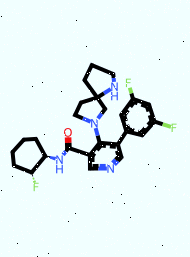 O=C(N[C@@H]1CCCC[C@H]1F)c1cncc(-c2cc(F)cc(F)c2)c1N1CCC2(CCCN2)C1